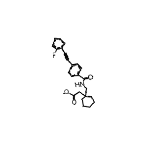 COC(=O)CC1(CNC(=O)c2ccc(C#Cc3ccccc3F)cc2)CCCCC1